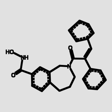 O=C(NO)c1ccc2c(c1)CN(C(=O)/C(=C\c1ccccc1)c1ccccc1)CCC2